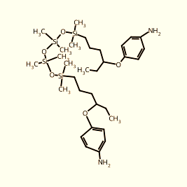 CCC(CCC[Si](C)(C)O[Si](C)(C)O[Si](C)(C)O[Si](C)(C)CCCC(CC)Oc1ccc(N)cc1)Oc1ccc(N)cc1